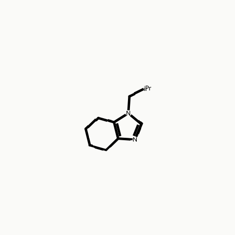 CC(C)Cn1cnc2c1CCCC2